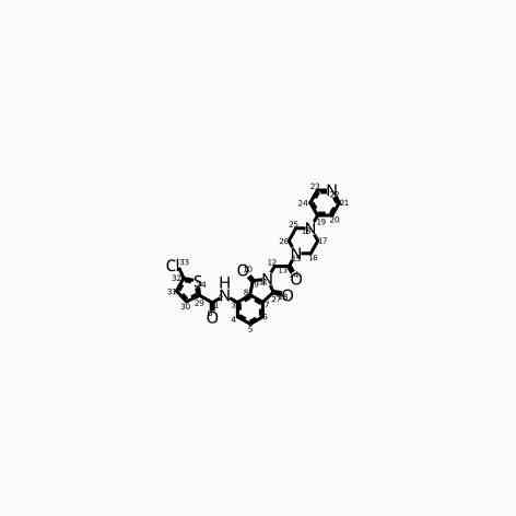 O=C(Nc1cccc2c1C(=O)N(CC(=O)N1CCN(c3ccncc3)CC1)C2=O)c1ccc(Cl)s1